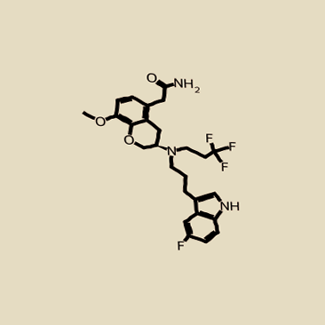 COc1ccc(CC(N)=O)c2c1OC[C@H](N(CCCc1c[nH]c3ccc(F)cc13)CCC(F)(F)F)C2